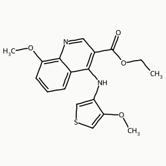 CCOC(=O)c1cnc2c(OC)cccc2c1Nc1cscc1OC